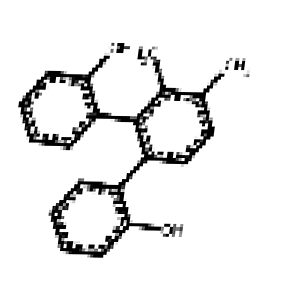 Cc1ccc(-c2ccccc2O)c(-c2ccccc2O)c1C